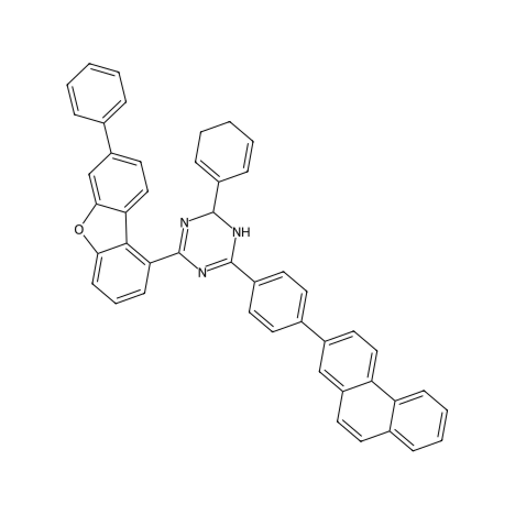 C1=CC(C2N=C(c3cccc4oc5cc(-c6ccccc6)ccc5c34)N=C(c3ccc(-c4ccc5c(ccc6ccccc65)c4)cc3)N2)=CCC1